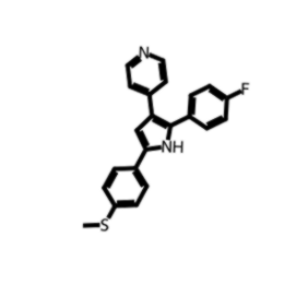 CSc1ccc(-c2cc(-c3ccncc3)c(-c3ccc(F)cc3)[nH]2)cc1